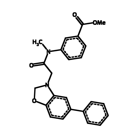 COC(=O)c1cccc(N(C)C(=O)CN2COc3ccc(-c4ccccc4)cc32)c1